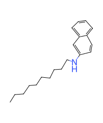 CCCCCCCCCCNc1ccc2ccccc2c1